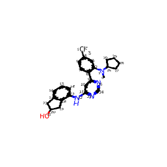 CN(c1cc(C(F)(F)F)ccc1-c1cc(Nc2cccc3c2CC(O)C3)ncn1)C1CCCC1